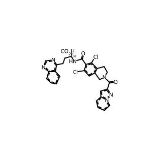 O=C(N[C@@H](CCc1ncnc2ccccc12)C(=O)O)c1c(Cl)cc2c(c1Cl)CCN(C(=O)c1cc3ccccn3n1)C2